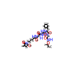 CC(=O)[C@@H](C)OCNC(=O)CNC(=O)[C@H](Cc1ccccc1)NC(=O)CNC(=O)CNC(=O)CCCCCN1C(=O)CC(C)C1=O